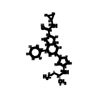 CC[C@@H](C)Nc1ncc(-c2cc(-c3ccccc3)c3nc(C(=O)NC4CC4)cn3c2)s1